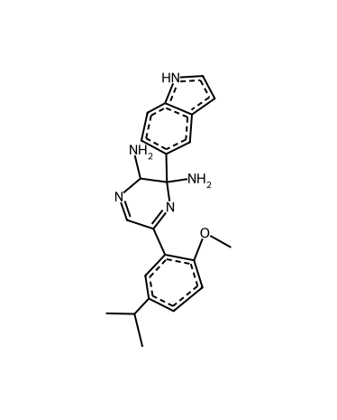 COc1ccc(C(C)C)cc1C1=NC(N)(c2ccc3[nH]ccc3c2)C(N)N=C1